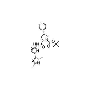 Cc1nc(C)c(-c2csc(NC(=O)[C@H]3C[C@H](c4ccccc4)CN3C(=O)OC(C)(C)C)n2)s1